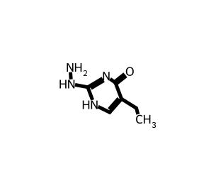 CCc1c[nH]c(NN)nc1=O